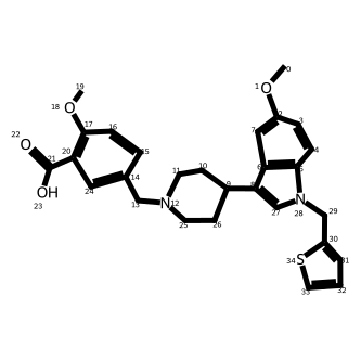 COc1ccc2c(c1)c(C1CCN(Cc3ccc(OC)c(C(=O)O)c3)CC1)cn2Cc1cccs1